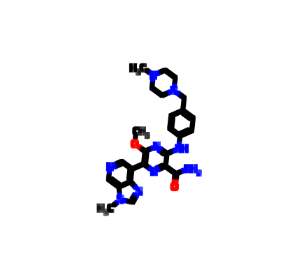 COc1nc(Nc2ccc(CN3CCN(C)CC3)cc2)c(C(N)=O)nc1-c1cncc2c1ncn2C